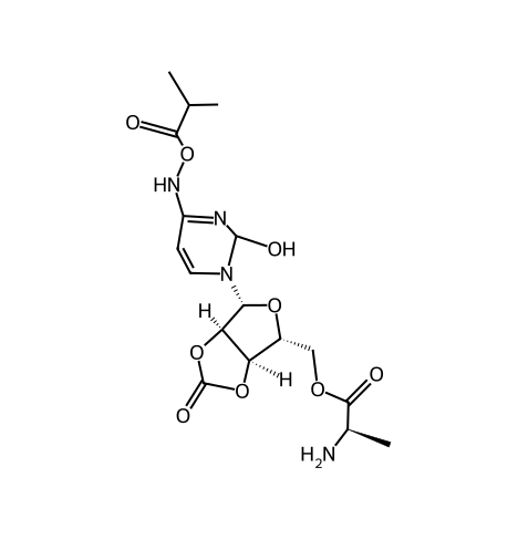 CC(C)C(=O)ONC1=NC(O)N([C@@H]2O[C@H](COC(=O)[C@@H](C)N)[C@H]3OC(=O)O[C@H]32)C=C1